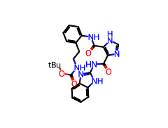 CC(C)(C)OC(=O)NCCc1ccccc1NC(=O)c1[nH]cnc1C(=O)Nc1nc2ccccc2[nH]1